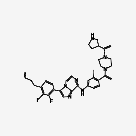 C=CCCc1ccc(-c2cnc3c(Nc4ccc(C(=C)N5CCN(C(=C)C6CCNC6)CC5)c(C)c4)nccn23)c(F)c1F